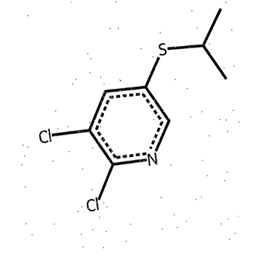 CC(C)Sc1cnc(Cl)c(Cl)c1